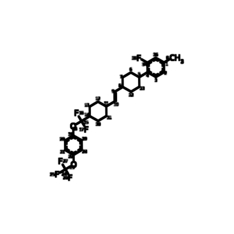 Cc1ccc(C2CCC(/C=C/C3CCC(C(F)(F)Oc4ccc(OC(F)(F)F)cc4)CC3)CC2)c(F)c1